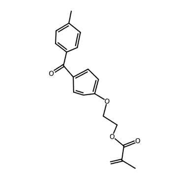 C=C(C)C(=O)OCCOc1ccc(C(=O)c2ccc(C)cc2)cc1